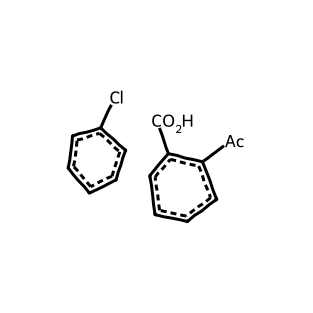 CC(=O)c1ccccc1C(=O)O.Clc1ccccc1